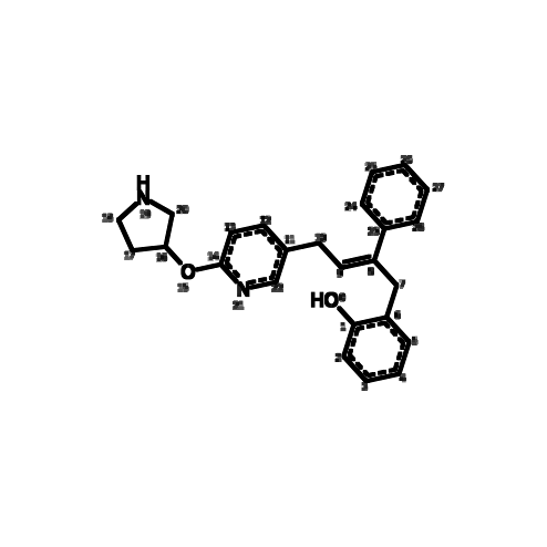 Oc1ccccc1CC(=CCc1ccc(OC2CCNC2)nc1)c1ccccc1